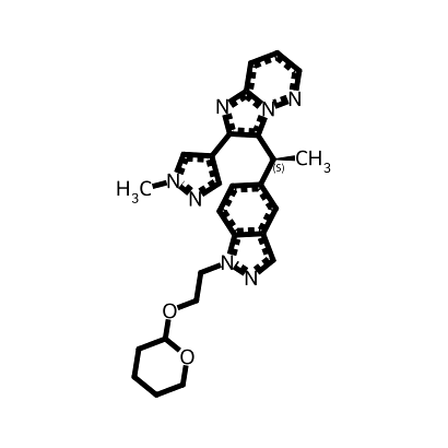 C[C@@H](c1ccc2c(cnn2CCOC2CCCCO2)c1)c1c(-c2cnn(C)c2)nc2cccnn12